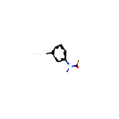 COc1cccc(N(C)C(=O)S)c1